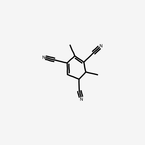 CC1=C(C#N)C(C)C(C#N)C=C1C#N